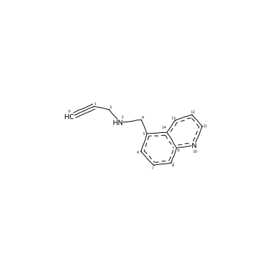 C#CCNCc1cc[c]c2ncccc12